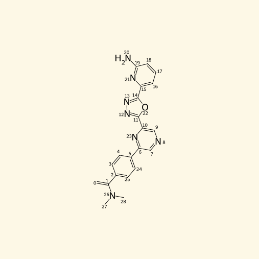 C=C(c1ccc(-c2cncc(-c3nnc(-c4cccc(N)n4)o3)n2)cc1)N(C)C